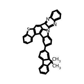 CC1(C)c2ccccc2-c2ccc(-c3ccc4c(c3)c3c5c(cc6c7nc8ccccc8nc7n4c63)sc3ccccc35)cc21